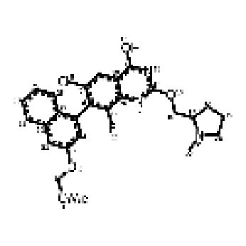 COCOc1cc(-c2c(Cl)cc3c(O)nc(OCC4CCCN4C)nc3c2F)c2ccccc2c1